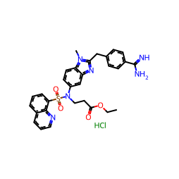 CCOC(=O)CCN(c1ccc2c(c1)nc(Cc1ccc(C(=N)N)cc1)n2C)S(=O)(=O)c1cccc2cccnc12.Cl